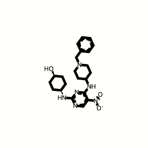 O=[N+]([O-])c1cnc(N[C@H]2CC[C@H](O)CC2)nc1NC1CCN(Cc2ccccc2)CC1